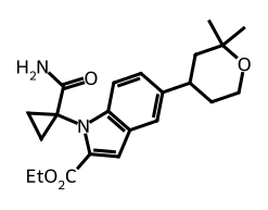 CCOC(=O)c1cc2cc(C3CCOC(C)(C)C3)ccc2n1C1(C(N)=O)CC1